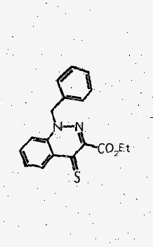 CCOC(=O)c1nn(Cc2ccccc2)c2ccccc2c1=S